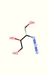 [N-]=[N+]=N[C@@H](CO)[C@H](O)CO